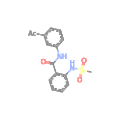 CC(=O)c1cccc(NC(=O)c2ccccc2NS(C)(=O)=O)c1